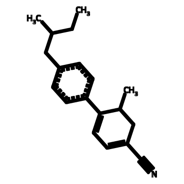 CCC(C)Cc1ccc(C2=CC=C(C#N)CC2C)cc1